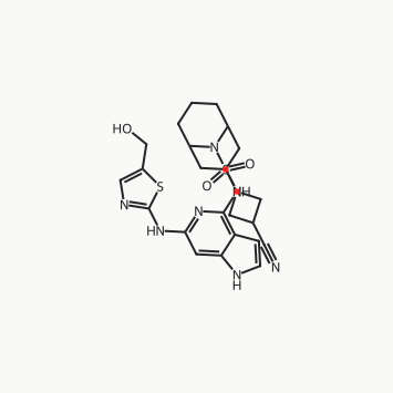 N#CC1CN(S(=O)(=O)N2C3CCCC2CC(Nc2nc(Nc4ncc(CO)s4)cc4[nH]ccc24)C3)C1